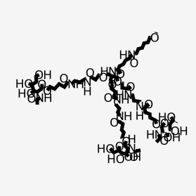 COCCCCCCNC(=O)CCCC(=O)NC(COCCC(=O)NCCCNC(=O)CCCCOC1OC(CO)C(O)C(O)[C@@H]1NC(C)=O)(COCCC(=O)NCCCNC(=O)CCCCOC1OC(CO)C(O)C(O)[C@@H]1NC(C)=O)COCCC(=O)NCCCNC(=O)CCCCOC(OC(CO)[C@@H](C)O)[C@H](CO)NC(C)=O